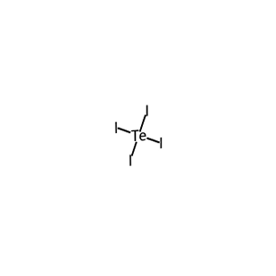 I[Te](I)(I)I